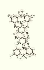 Cc1ccc2c(c1)C(C)(C)c1cc(C)ccc1N2c1c(F)c(F)c(-c2c(F)c(F)c(N3c4ccc(C)cc4C(C)(C)c4cc(C)ccc43)c(F)c2F)c(F)c1F